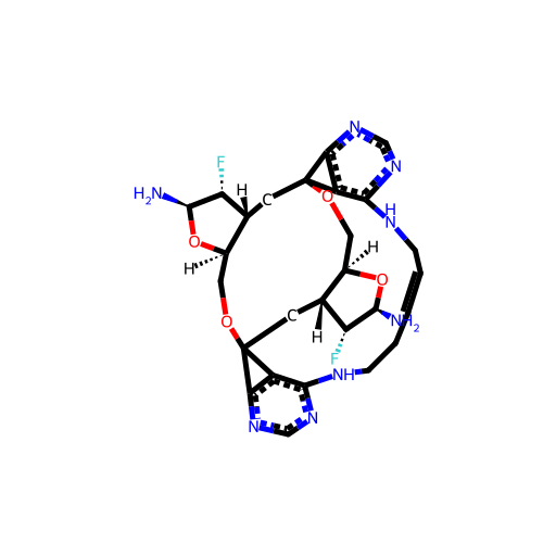 N[C@@H]1O[C@@H]2COC34C[C@H]5[C@@H](F)[C@H](N)O[C@@H]5COC5(C[C@H]2[C@H]1F)c1ncnc(c15)NCC/C=C/CNc1ncnc3c14